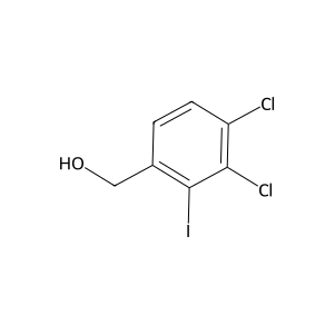 OCc1ccc(Cl)c(Cl)c1I